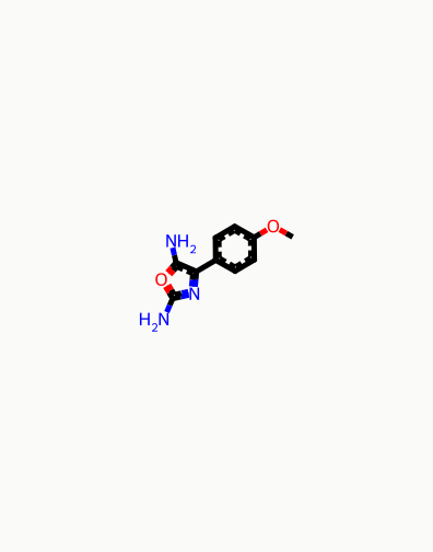 COc1ccc(-c2nc(N)oc2N)cc1